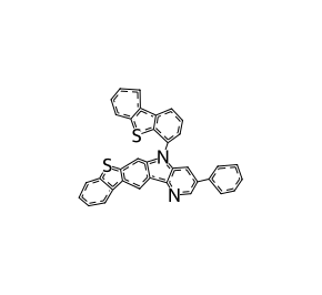 c1ccc(-c2cnc3c4cc5c(cc4n(-c4cccc6c4sc4ccccc46)c3c2)sc2ccccc25)cc1